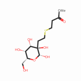 COC(=O)CCSCC[C@]1(O)[C@H](O)O[C@H](CO)[C@H](O)[C@@H]1O